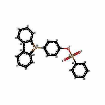 O=S(=O)(Oc1ccc(-[s+]2c3ccccc3c3ccccc32)cc1)c1ccccc1